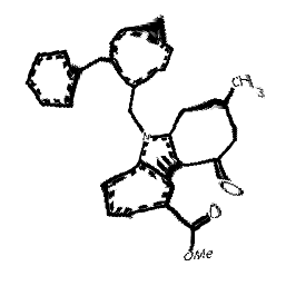 COC(=O)c1cccc2c1c1c(n2Cc2ccccc2-c2ccccc2)CC(C)CC1=O